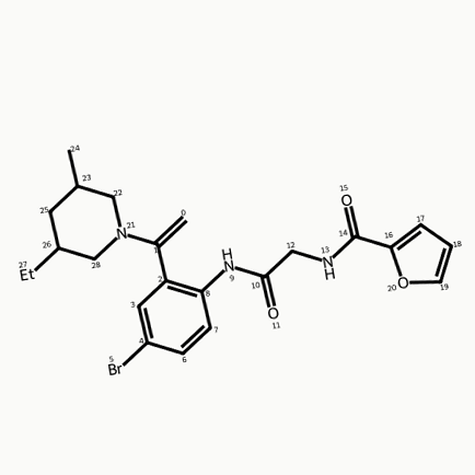 C=C(c1cc(Br)ccc1NC(=O)CNC(=O)c1ccco1)N1CC(C)CC(CC)C1